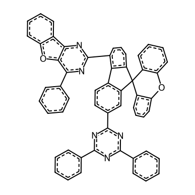 c1ccc(-c2nc(-c3ccccc3)nc(-c3ccc4c(c3)C3(c5ccccc5Oc5ccccc53)c3cccc(-c5nc(-c6ccccc6)c6oc7ccccc7c6n5)c3-4)n2)cc1